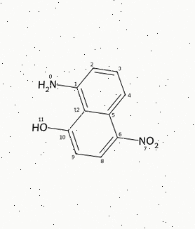 Nc1cccc2c([N+](=O)[O-])ccc(O)c12